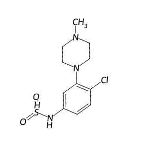 CN1CCN(c2cc(N[SH](=O)=O)ccc2Cl)CC1